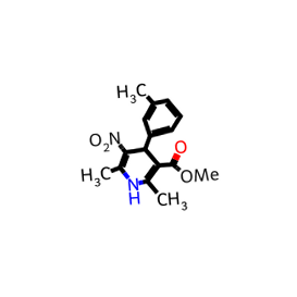 COC(=O)C1=C(C)NC(C)=C([N+](=O)[O-])C1c1cccc(C)c1